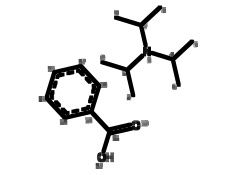 CC(C)N(C(C)C)C(C)C.O=C(O)c1ccccc1